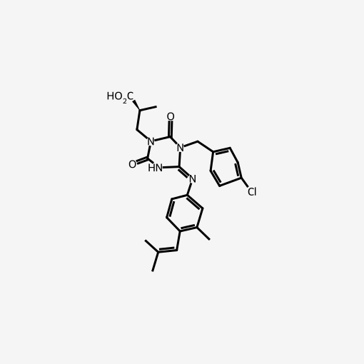 CC(C)=Cc1ccc(/N=c2\[nH]c(=O)n(C[C@H](C)C(=O)O)c(=O)n2Cc2ccc(Cl)cc2)cc1C